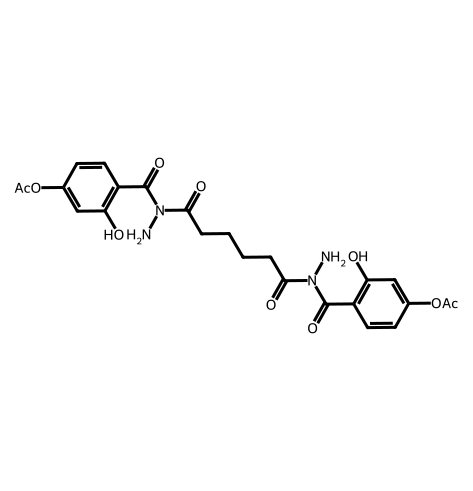 CC(=O)Oc1ccc(C(=O)N(N)C(=O)CCCCC(=O)N(N)C(=O)c2ccc(OC(C)=O)cc2O)c(O)c1